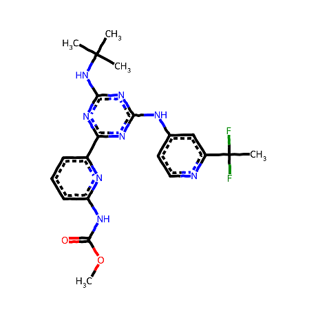 COC(=O)Nc1cccc(-c2nc(Nc3ccnc(C(C)(F)F)c3)nc(NC(C)(C)C)n2)n1